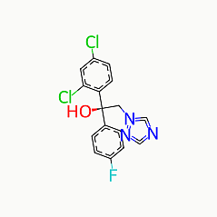 O[C@@](Cn1cncn1)(c1ccc(F)cc1)c1ccc(Cl)cc1Cl